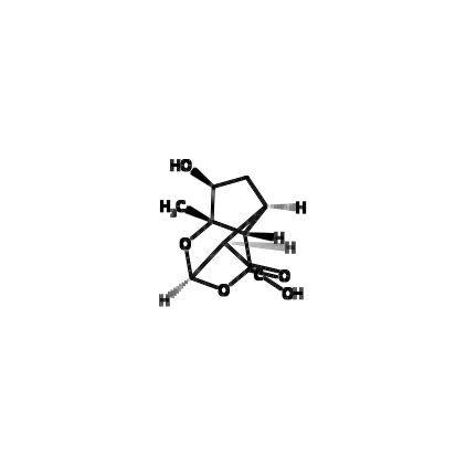 C[C@]12O[C@@H]3OC(=O)[C@H]1[C@H](C[C@@H]2O)[C@H]3CO